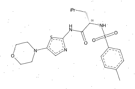 Cc1ccc(S(=O)(=O)N[C@@H](CC(C)C)C(=O)Nc2ncc(N3CCOCC3)s2)cc1